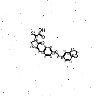 O=C(O)C(=S)N1CSC(=Cc2ccc(OCc3ccc4c(c3)OCO4)cc2)C1=O